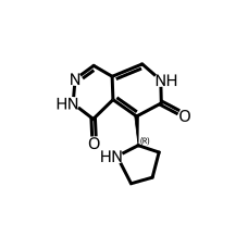 O=c1[nH]cc2cn[nH]c(=O)c2c1[C@H]1CCCN1